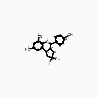 N#Cc1cc(O)cc2c1OC(c1ccc(O)cc1)C1CC(F)(F)CC21